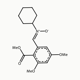 COC(=O)c1c(C=[N+]([O-])C2CCCCC2)cc(OC)cc1OC